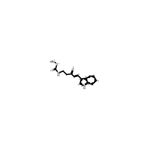 CCCCOC(=O)NCCC(=O)C=Cc1c[nH]c2ccccc12